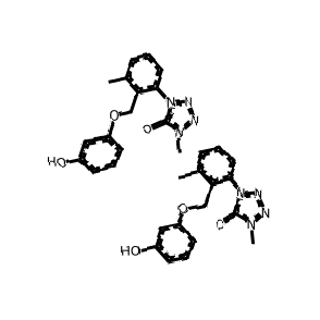 Cc1cccc(-n2nnn(C)c2=O)c1COc1cccc(O)c1.Cc1cccc(-n2nnn(C)c2=O)c1COc1cccc(O)c1